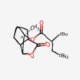 CC(C)(C)CC(C(=O)O[C@]1(C)C2CC3C(=O)OC1C3C2)C(C)(C)C